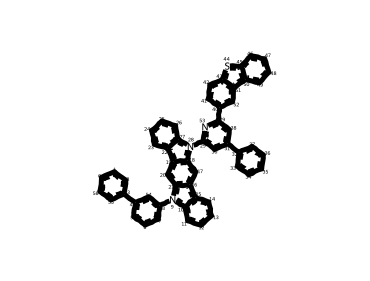 c1ccc(-c2cccc(-n3c4ccccc4c4cc5c(cc43)c3ccccc3n5-c3cc(-c4ccccc4)cc(-c4ccc5sc6ccccc6c5c4)n3)c2)cc1